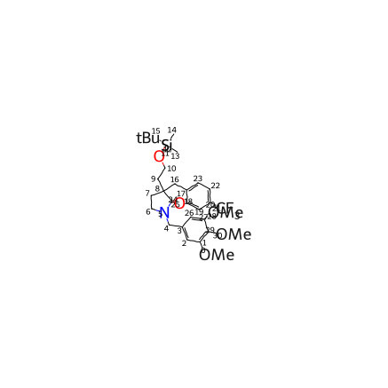 COc1cc(CN2CCC(CCO[Si](C)(C)C(C)(C)C)(Cc3ccc(C(F)(F)F)cc3)C2=O)cc(OC)c1OC